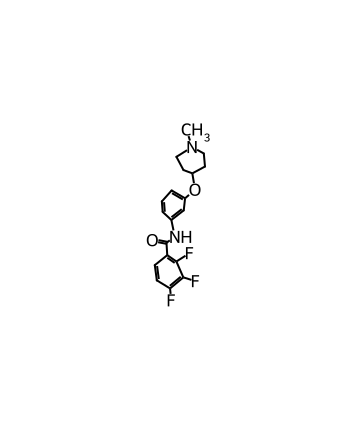 CN1CCC(Oc2cccc(NC(=O)c3ccc(F)c(F)c3F)c2)CC1